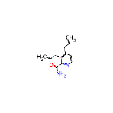 C=CCc1ccnc(C(N)=O)c1CC=C